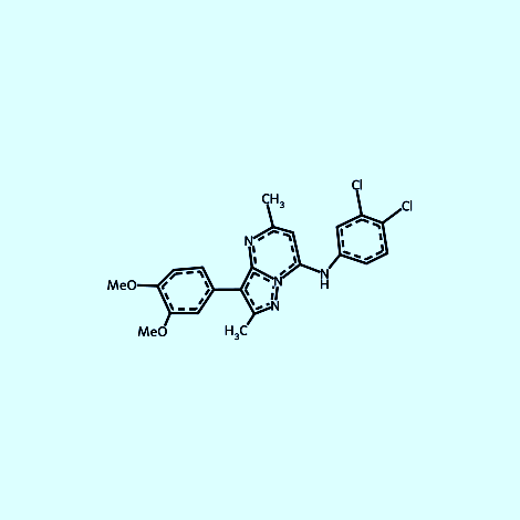 COc1ccc(-c2c(C)nn3c(Nc4ccc(Cl)c(Cl)c4)cc(C)nc23)cc1OC